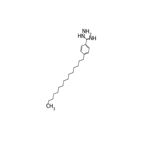 CCCCCCCCCCCCCCCc1ccc(C(=N)NN)cc1